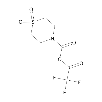 O=C(OC(=O)C(F)(F)F)N1CCS(=O)(=O)CC1